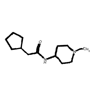 CN1CCC(NC(=O)CC2CCCC2)CC1